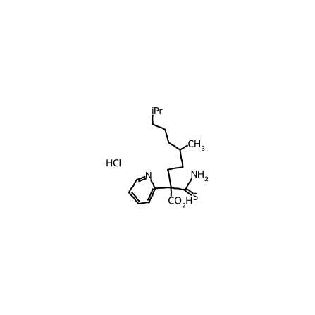 CC(C)CCCC(C)CCC(C(=O)O)(C(N)=S)c1ccccn1.Cl